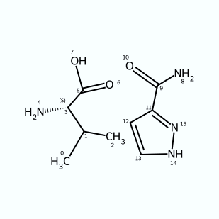 CC(C)[C@H](N)C(=O)O.NC(=O)c1cc[nH]n1